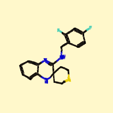 Fc1ccc(CNC2=Nc3ccccc3NC23CCSCC3)c(F)c1